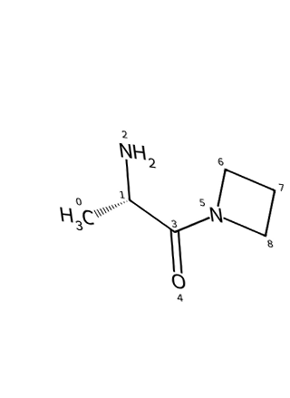 C[C@H](N)C(=O)N1CCC1